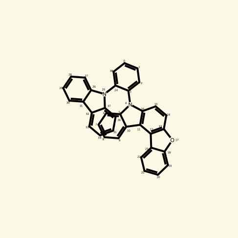 c1ccc(-n2c3ccccc3c3c4c(ccc32)oc2ccccc24)c(-n2c3ccccc3c3ccccc32)c1